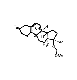 COCO[C@]1(C(C)=O)CC[C@H]2[C@@H]3CC=C4CC(=O)CC[C@]4(C)[C@H]3CC[C@@]21C